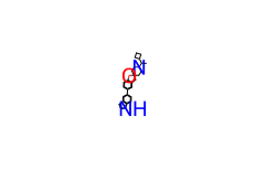 CC(C1CCC1)N1CCC2(CC1)Cc1cc(-c3ccc4[nH]ccc4c3)ccc1O2